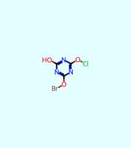 Oc1nc(OCl)nc(OBr)n1